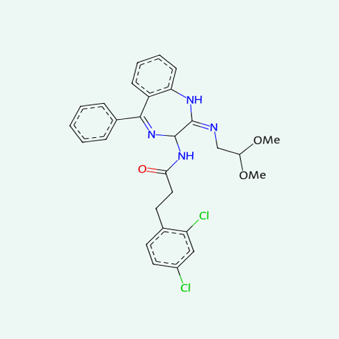 COC(C/N=C1/Nc2ccccc2C(c2ccccc2)=NC1NC(=O)CCc1ccc(Cl)cc1Cl)OC